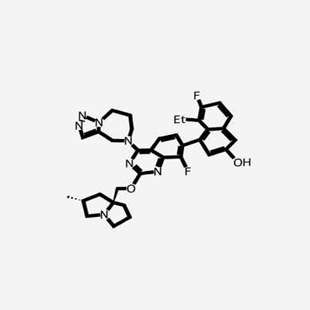 CCc1c(F)ccc2cc(O)cc(-c3ccc4c(N5CCCn6nncc6C5)nc(OC[C@@]56CCCN5C[C@H](C)C6)nc4c3F)c12